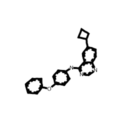 c1ccc(Oc2ccc([N]c3ncnc4ccc(C5CCC5)cc34)cc2)cc1